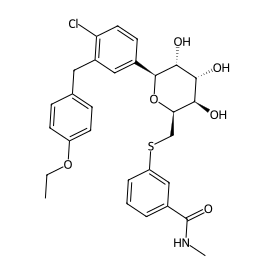 CCOc1ccc(Cc2cc([C@@H]3O[C@H](CSc4cccc(C(=O)NC)c4)[C@H](O)[C@@H](O)[C@H]3O)ccc2Cl)cc1